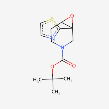 CC(C)(C)OC(=O)N1CCC2OC2(c2nccs2)C1